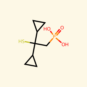 O=P(O)(O)CC(S)(C1CC1)C1CC1